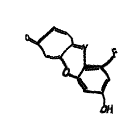 O=c1ccc2nc3c(F)cc(O)cc3oc-2c1